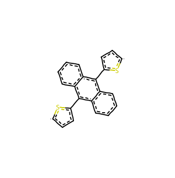 [c]1ccc(-c2c3ccccc3c(-c3cc[c]s3)c3ccccc23)s1